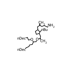 C=C(CCCN)CC1CCC(CC(=C)OCC(CCCCCCCCCCCCCC)OCCCCCCCCCCCC)C1CCCC